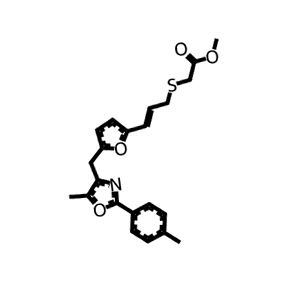 COC(=O)CSC/C=C/c1ccc(Cc2nc(-c3ccc(C)cc3)oc2C)o1